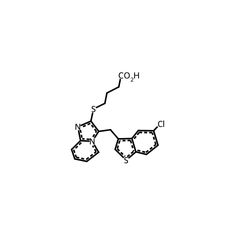 O=C(O)CCCSc1nc2ccccn2c1Cc1csc2ccc(Cl)cc12